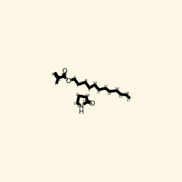 C=C(C)C(=O)OCCCCCCCCCCCC.O=C1CCCN1